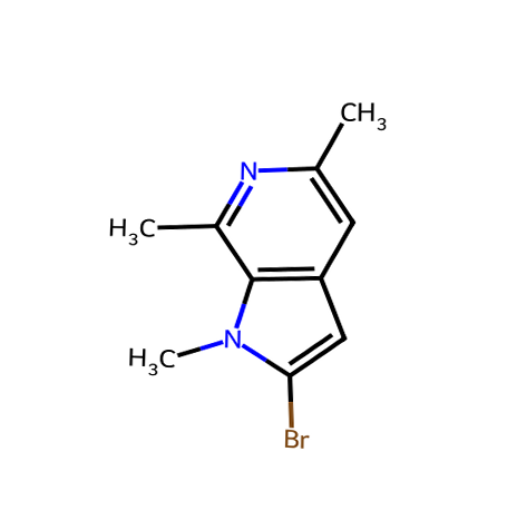 Cc1cc2cc(Br)n(C)c2c(C)n1